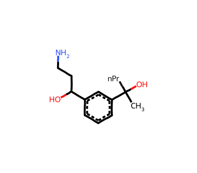 CCCC(C)(O)c1cccc(C(O)CCN)c1